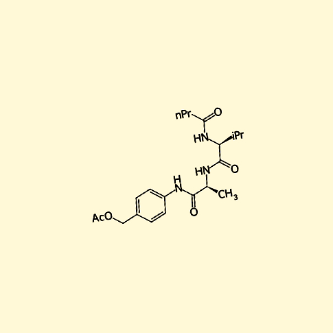 CCCC(=O)N[C@H](C(=O)N[C@@H](C)C(=O)Nc1ccc(COC(C)=O)cc1)C(C)C